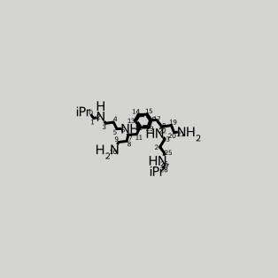 CC(C)CNCCCNC(CCN)Cc1cccc(CC(CCN)NCCCNCC(C)C)c1